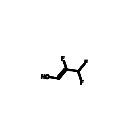 OC=C(F)C(F)F